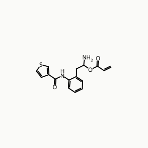 C=CC(=O)OC(N)Cc1ccccc1NC(=O)c1ccsc1